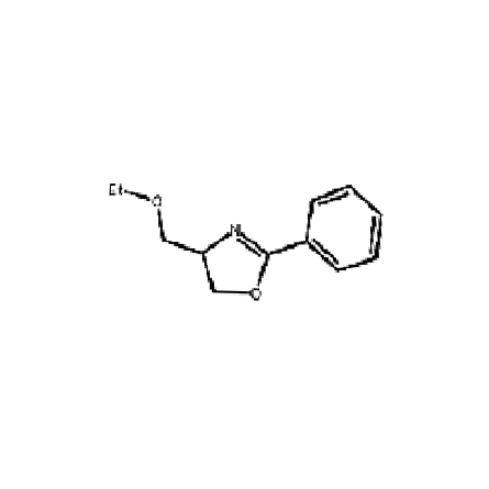 CCOCC1COC(c2ccccc2)=N1